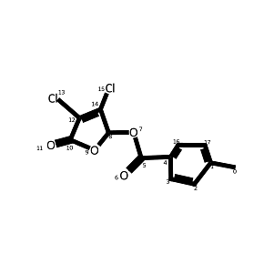 Cc1ccc(C(=O)OC2OC(=O)C(Cl)=C2Cl)cc1